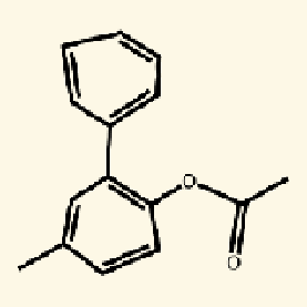 CC(=O)Oc1ccc(C)cc1-c1ccccc1